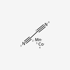 N#CC#N.[Co].[Mn]